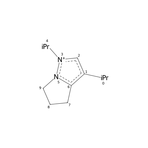 CC(C)c1c[n+](C(C)C)n2c1CCC2